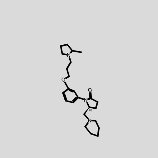 CC1CCCN1CCCOc1cccc(N2C(=O)CC[C@H]2CN2CCCCC2)c1